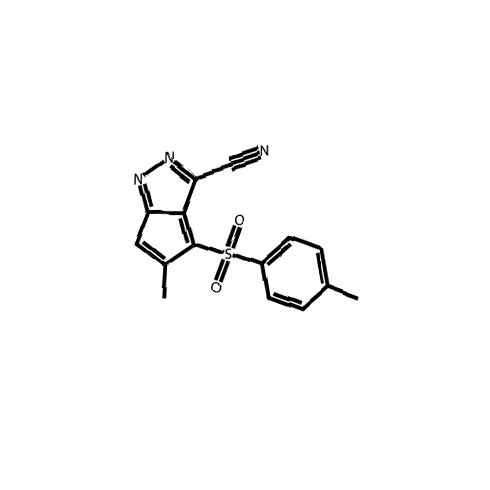 CC1=CC2=NN=C(C#N)C2=C1S(=O)(=O)c1ccc(C)cc1